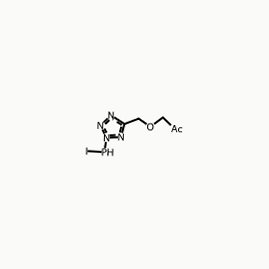 CC(=O)COCc1nnn(PI)n1